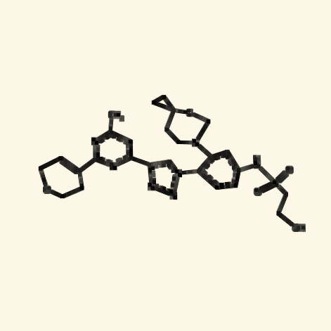 Cc1cc(-c2cn(-c3ccc(NS(=O)(=O)CCO)cc3N3CCC4(CC3)CC4)nn2)nc(C2=CCOCC2)n1